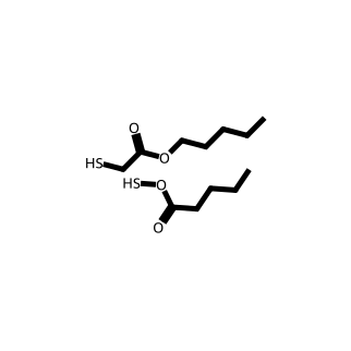 CCCCC(=O)OS.CCCCCOC(=O)CS